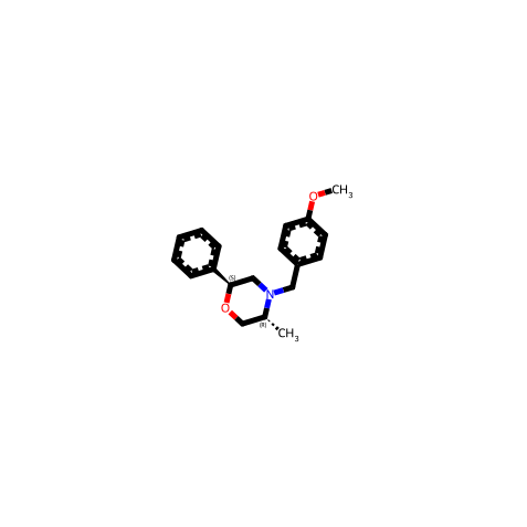 COc1ccc(CN2C[C@H](c3ccccc3)OC[C@H]2C)cc1